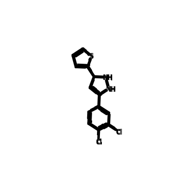 Clc1ccc(C2=CC(c3cccs3)NN2)cc1Cl